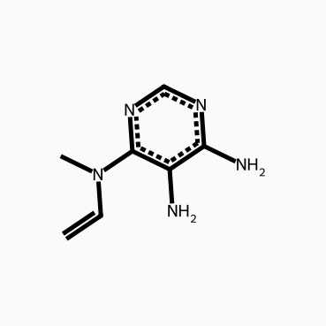 C=CN(C)c1ncnc(N)c1N